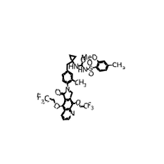 COc1cc(C)ccc1S(=O)(=O)NC(=O)NC1(Cc2ccc(N3Cc4c(c(OCC(F)(F)F)c5cccnc5c4OCC(F)(F)F)C3=O)c(C)c2)CC1